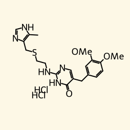 COc1ccc(Cc2cnc(NCCSCc3nc[nH]c3C)[nH]c2=O)cc1OC.Cl.Cl